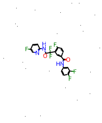 O=C(Nc1ccc(F)c(F)c1)c1ccc(F)c(C(F)(F)C(=O)Nc2ccc(F)cn2)c1